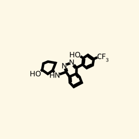 Oc1cc(C(F)(F)F)ccc1-c1nnc(NC2CCCC(O)C2)c2ccccc12